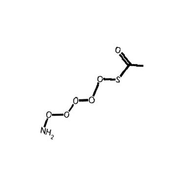 CC(=O)SOOOOON